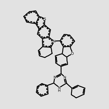 C1=CCCC(C2=NC(C3=CC4Oc5cccc(-n6c7c(c8cc9c(cc86)sc6ccccc69)C=CCC7)c5C4C=C3)=NC(c3ccccc3)N2)=C1